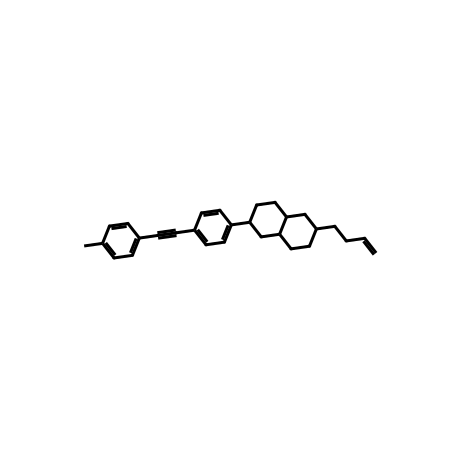 C=CCCC1CCC2CC(c3ccc(C#Cc4ccc(C)cc4)cc3)CCC2C1